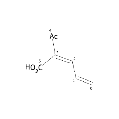 C=CC=C(C(C)=O)C(=O)O